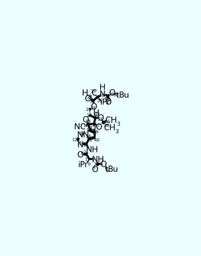 CC(C)[C@H](NC(=O)OC(C)(C)C)C(=O)Nc1ncnn2c([C@]3(C#N)O[C@H](COC(=O)[C@](C)(NC(=O)OC(C)(C)C)C(C)C)[C@H]4OC(C)(C)O[C@H]43)ccc12